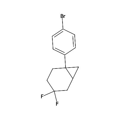 FC1(F)CCC2(c3ccc(Br)cc3)CC2C1